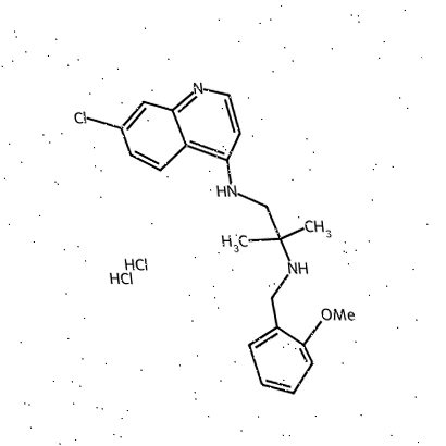 COc1ccccc1CNC(C)(C)CNc1ccnc2cc(Cl)ccc12.Cl.Cl